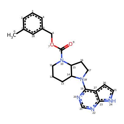 Cc1cccc(COC(=O)N2CCCC3C2CCN3c2ncnc3[nH]ccc23)c1